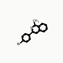 Cc1nc(-c2ccc(Br)cc2)cc2ccccc12